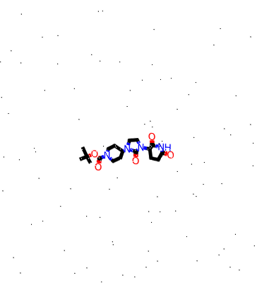 CC(C)(C)OC(=O)N1CCC(N2CCN(C3CCC(=O)NC3=O)C2=O)CC1